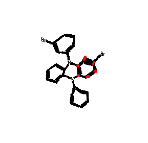 Brc1cccc(N(c2cccc(Br)c2)c2ccccc2N(c2ccccc2)c2ccccc2)c1